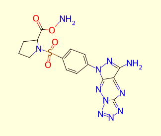 NOC(=O)C1CCCN1S(=O)(=O)c1ccc(-n2nc(N)c3nc4nnnn4nc32)cc1